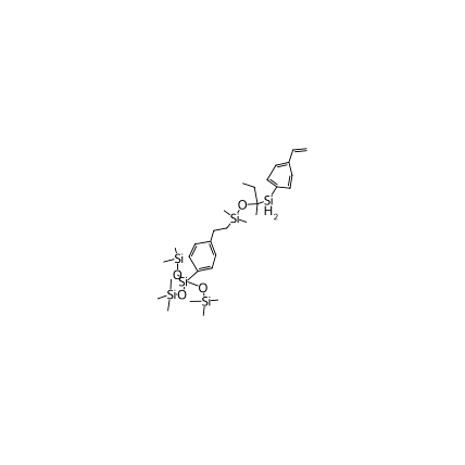 C=Cc1ccc([SiH2]C(C)(CC)O[Si](C)(C)CCc2ccc([Si](O[Si](C)(C)C)(O[Si](C)(C)C)O[Si](C)(C)C)cc2)cc1